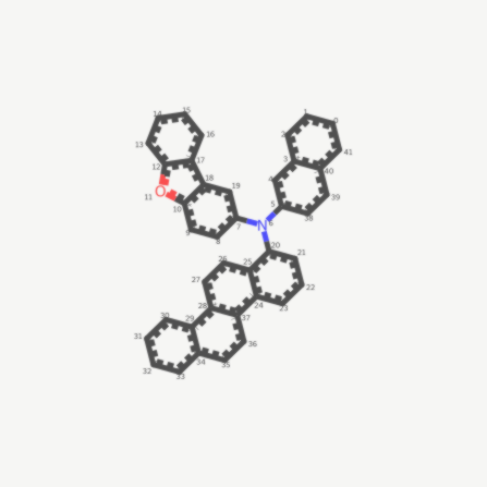 c1ccc2cc(N(c3ccc4oc5ccccc5c4c3)c3cccc4c3ccc3c5ccccc5ccc43)ccc2c1